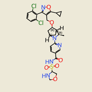 C[C@@H]1[C@@H]2C[C@@H](C[C@H]2OCc2c(-c3c(Cl)cccc3Cl)noc2C2CC2)N1c1ccc(C(=O)NS(=O)(=O)C2COCN2)cn1